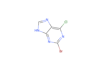 Clc1nc(Br)nc2[nH]cnc12